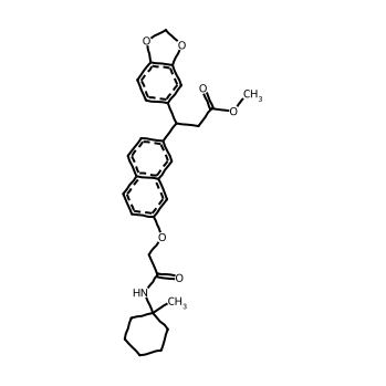 COC(=O)CC(c1ccc2c(c1)OCO2)c1ccc2ccc(OCC(=O)NC3(C)CCCCC3)cc2c1